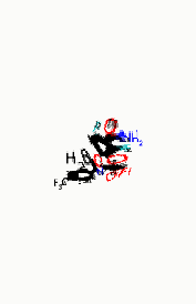 Bc1oc(C(CO)Oc2ccc(F)c(C(N)=O)c2F)nc1-c1ccc(C(F)(F)F)cc1